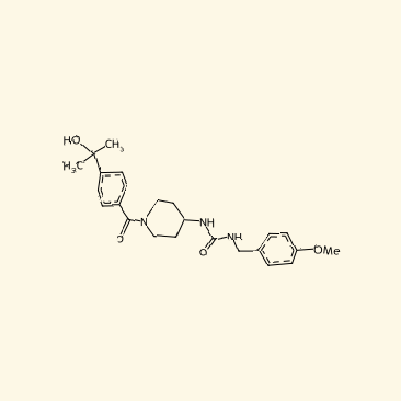 COc1ccc(CNC(=O)NC2CCN(C(=O)c3ccc(C(C)(C)O)cc3)CC2)cc1